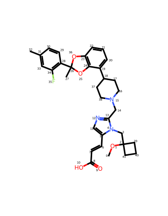 COC1(Cn2c(/C=C/C(=O)O)cnc2CN2CCC(c3cccc4c3OC(C)(c3ccc(C)cc3F)O4)CC2)CCC1